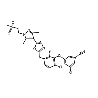 Cc1nn(CCS(C)(=O)=O)c(C)c1-c1nnc(Cc2ccc(Cl)c(Oc3cc(Cl)cc(C#N)c3)c2F)o1